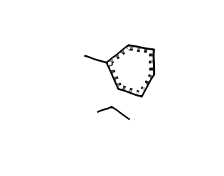 CCOC(=O)CC(=O)O.Cc1ccccc1